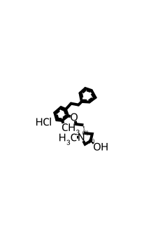 Cc1cccc(CCc2ccccc2)c1OCC[C@@H]1C[C@@H](O)CN1C.Cl